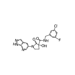 O=C(NCc1cc(F)cc(Cl)c1)C1(O)CCN(c2cnc3[nH]ncc3c2)C1=O